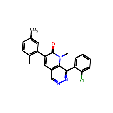 Cc1ccc(C(=O)O)cc1-c1cc2cnnc(-c3ccccc3Cl)c2n(C)c1=O